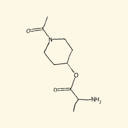 CC(=O)N1CCC(OC(=O)C(C)N)CC1